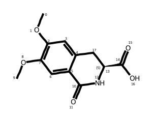 COc1cc2c(cc1OC)C(=O)N[C@H](C(=O)O)C2